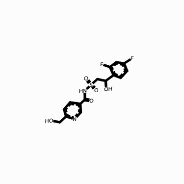 O=C(NS(=O)(=O)CC(O)c1ccc(F)cc1F)c1ccc(CO)nc1